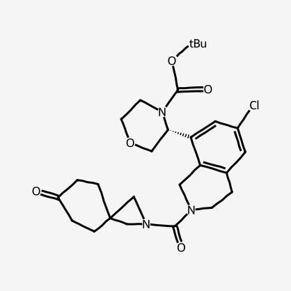 CC(C)(C)OC(=O)N1CCOC[C@H]1c1cc(Cl)cc2c1CN(C(=O)N1CC3(CCC(=O)CC3)C1)CC2